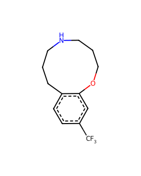 FC(F)(F)c1ccc2c(c1)OCCCNCCC2